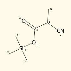 CC(C#N)C(=O)O[Si](C)(C)C